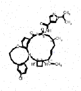 CO[C@H]1/C=C/C[C@H](C)C[S@@](=O)(NC(=O)c2cnn(C(C)C)c2)=NC(=O)c2ccc3c(c2)N(Cc2ccc(Cl)cc2CCCCO3)C[C@@H]2CC[C@H]21